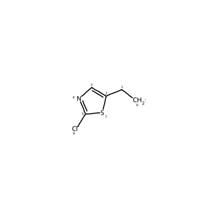 [CH2]Cc1cnc(Cl)s1